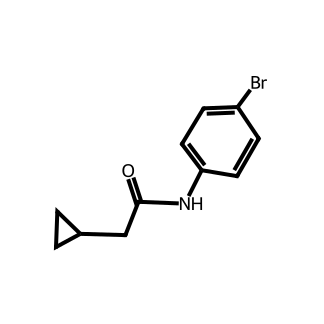 O=C(CC1CC1)Nc1ccc(Br)cc1